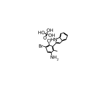 Cc1c(N)cc(Br)c(Cl)c1-c1cc2ccccc2[nH]1.O=P(O)(O)O